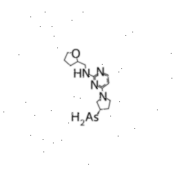 [AsH2][C@@H]1CCN(c2ccnc(NCC3CCCO3)n2)C1